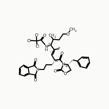 COCCC(C)[C@H](NC(=O)C(Cl)(Cl)Cl)/C(F)=C/[C@@H](CCCN1C(=O)c2ccccc2C1=O)C(=O)N1C(=O)OC[C@H]1Cc1ccccc1